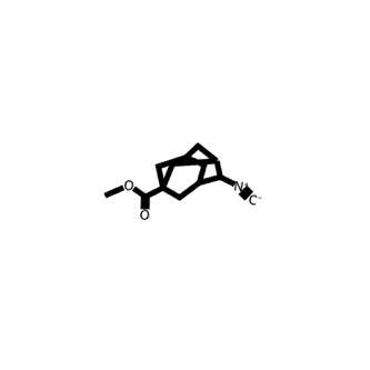 [C-]#[N+]C1C2CC3CC1CC(C(=O)OC)(C3)C2